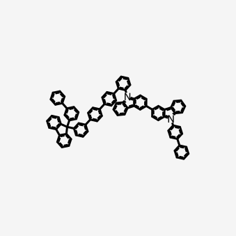 c1ccc(-c2ccc(-n3c4ccccc4c4cc(-c5ccc6c(c5)c5ccccc5n6-c5ccccc5-c5ccc(-c6ccc(-c7cccc(C8(c9cccc(-c%10ccccc%10)c9)c9ccccc9-c9ccccc98)c7)cc6)cc5)ccc43)cc2)cc1